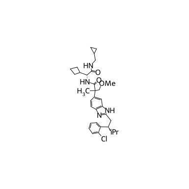 COCC(C)(C(=O)N[C@@H](C(=O)NCC1CC1)C1CCC1)c1ccc2nc(C[C@H](c3ccccc3Cl)C(C)C)[nH]c2c1